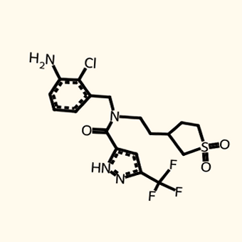 Nc1cccc(CN(CCC2CCS(=O)(=O)C2)C(=O)c2cc(C(F)(F)F)n[nH]2)c1Cl